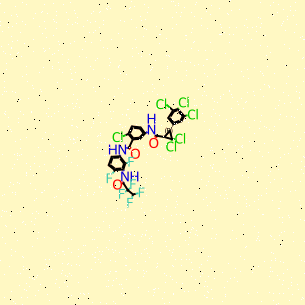 O=C(Nc1ccc(F)c(NC(=O)C(F)(F)C(F)F)c1F)c1cc(NC(=O)C2[C@H](c3cc(Cl)c(Cl)c(Cl)c3)C2(Cl)Cl)ccc1Cl